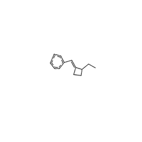 CCC1CCC1=Cc1ccccc1